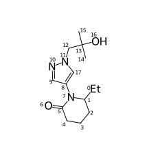 CCC1CCCC(=O)N1c1cnn(CC(C)(C)O)c1